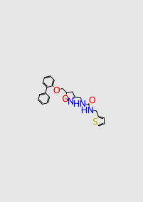 O=C(NCC1=NOC(COc2ccccc2-c2ccccc2)C1)NCc1cccs1